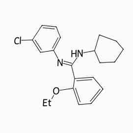 CCOc1ccccc1C(=Nc1cccc(Cl)c1)NC1CCCCC1